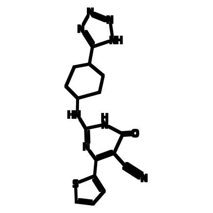 N#Cc1c(-c2cccs2)nc(NC2CCC(c3nnn[nH]3)CC2)[nH]c1=O